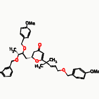 COc1ccc(COC/C=C/C(C)(C)C2=CC(=O)C[C@@H](CC(OCc3ccc(OC)cc3)[C@@H](C)OCc3ccccc3)O2)cc1